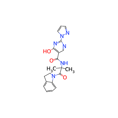 CC(C)(NC(=O)c1cnc(-n2cccn2)nc1O)C(=O)N1CCc2ccccc21